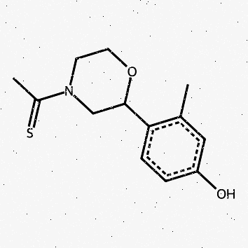 CC(=S)N1CCOC(c2ccc(O)cc2C)C1